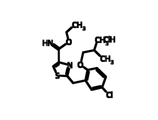 CCOC(=N)c1csc(Cc2cc(Cl)ccc2OCC(C)C)n1.Cl